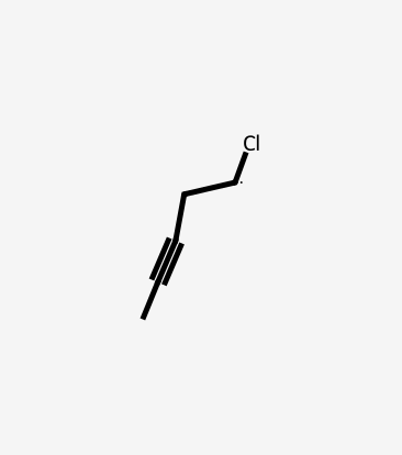 CC#CC[CH]Cl